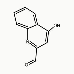 O=[C]c1cc(O)c2ccccc2n1